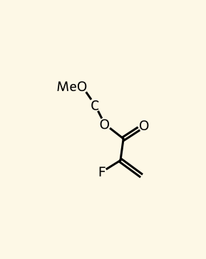 C=C(F)C(=O)OCOC